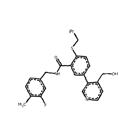 Cc1ccc(CNC(=O)c2cc(-c3cnccc3CO)ccc2SCC(C)C)cc1F